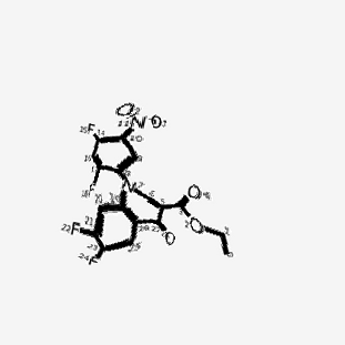 CCOC(=O)c1cn(-c2cc([N+](=O)[O-])c(F)cc2F)c2cc(F)c(F)cc2c1=O